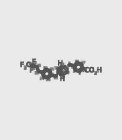 O=C(O)c1ccc(CN2C[C@@H]3C[C@H]2CN3Cc2ccc(CCC(F)(F)C(F)(F)F)cc2)cc1